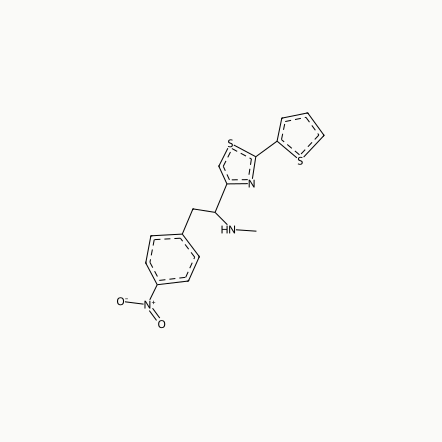 CNC(Cc1ccc([N+](=O)[O-])cc1)c1csc(-c2cccs2)n1